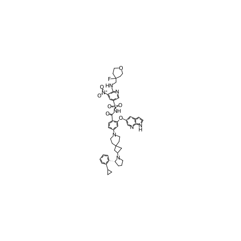 O=C(NS(=O)(=O)c1cnc(NCC2(F)CCOCC2)c([N+](=O)[O-])c1)c1ccc(N2CCC3(CC2)CC(N2CCC[C@@H]2c2ccccc2C2CC2)C3)cc1Oc1cnc2[nH]ccc2c1